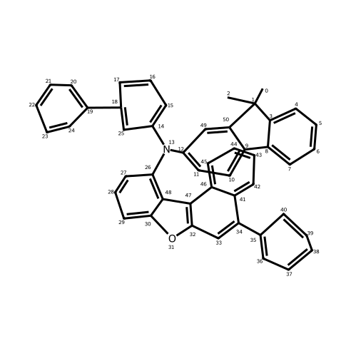 CC1(C)c2ccccc2-c2ccc(N(c3cccc(-c4ccccc4)c3)c3cccc4oc5cc(-c6ccccc6)c6ccccc6c5c34)cc21